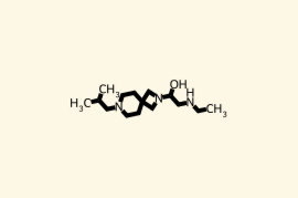 CCNCC(O)N1CC2(CCN(CC(C)C)CC2)C1